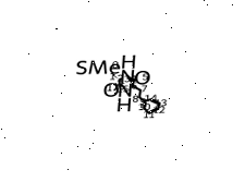 CSC[C@@H]1NC(=O)C(CCc2ccccc2)NC1=O